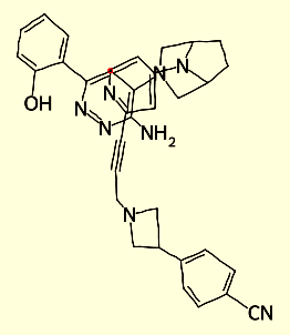 N#Cc1ccc(C2CN(CC#Cc3cc(N4C5CCC4CN(c4cc(-c6ccccc6O)nnc4N)C5)ccn3)C2)cc1